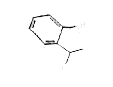 BC(F)c1ccccc1C